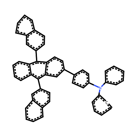 c1ccc(N(c2ccccc2)c2ccc(-c3ccc4c(-c5ccc6ccccc6c5)c5ccccc5c(-c5ccc6ccccc6c5)c4c3)cc2)cc1